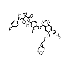 COc1cc2ncnc(Oc3ccc(NC(=O)C4(C(=O)Nc5ccc(F)cc5)CC4)cc3F)c2cc1OCCCN1CCOCC1